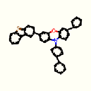 c1ccc(-c2ccc(N3c4ccc(-c5ccccc5)cc4Oc4cc(-c5ccc6sc7ccccc7c6c5)ccc43)cc2)cc1